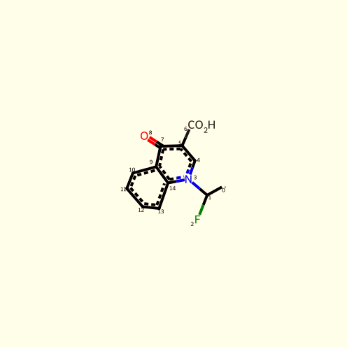 [CH2]C(F)n1cc(C(=O)O)c(=O)c2ccccc21